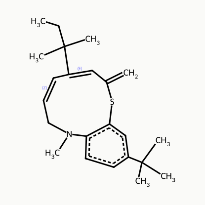 C=C1/C=C(C(C)(C)CC)\C=C/CN(C)c2ccc(C(C)(C)C)cc2S1